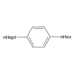 CCCCCC[CH]c1ccc(CCCCCC)cc1